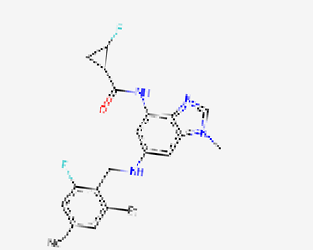 CCc1cc(C#N)cc(F)c1CNc1cc(NC(=O)C2CC2F)c2ncn(C)c2c1